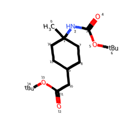 CC1(NC(=O)OC(C)(C)C)CCC(CC(=O)OC(C)(C)C)CC1